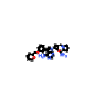 NC(=O)[C@H]1CCCN1C[C@H]1C[C@@H](n2cc(-c3cccc(OCC4CCCCO4)c3)c3c(N)ncnc32)C1